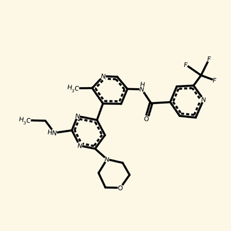 CCNc1nc(-c2cc(NC(=O)c3ccnc(C(F)(F)F)c3)cnc2C)cc(N2CCOCC2)n1